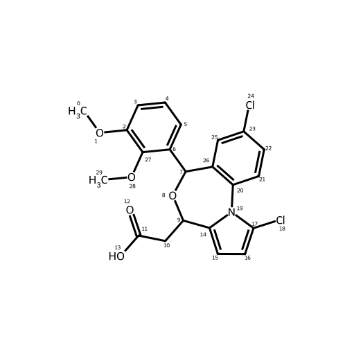 COc1cccc(C2OC(CC(=O)O)c3ccc(Cl)n3-c3ccc(Cl)cc32)c1OC